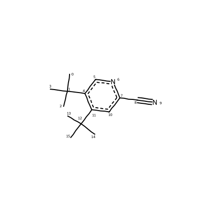 CC(C)(C)c1cnc(C#N)cc1C(C)(C)C